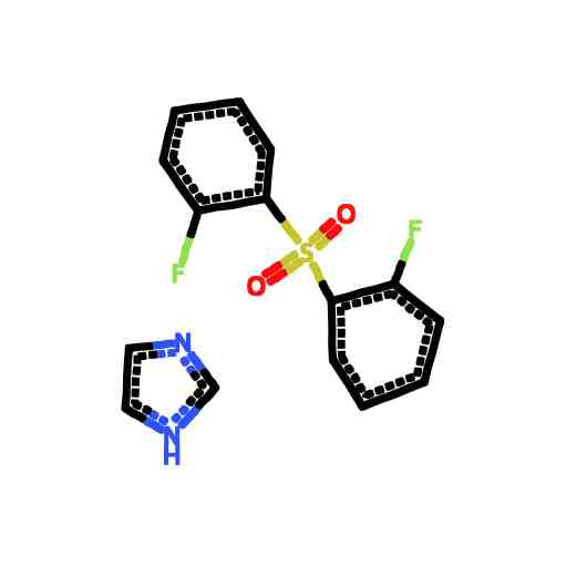 O=S(=O)(c1ccccc1F)c1ccccc1F.c1c[nH]cn1